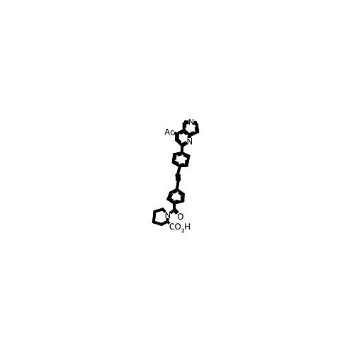 CC(=O)c1cc(-c2ccc(C#Cc3ccc(C(=O)N4CCCCC4C(=O)O)cc3)cc2)nc2ccncc12